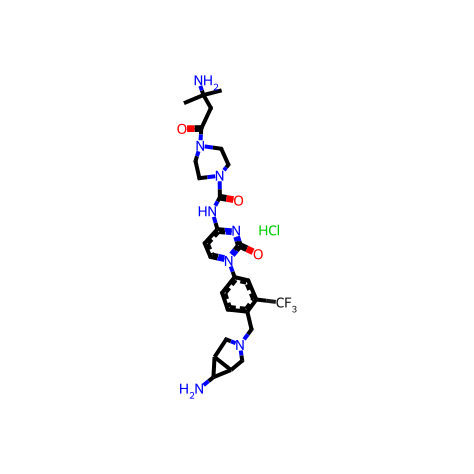 CC(C)(N)CC(=O)N1CCN(C(=O)Nc2ccn(-c3ccc(CN4CC5C(N)C5C4)c(C(F)(F)F)c3)c(=O)n2)CC1.Cl